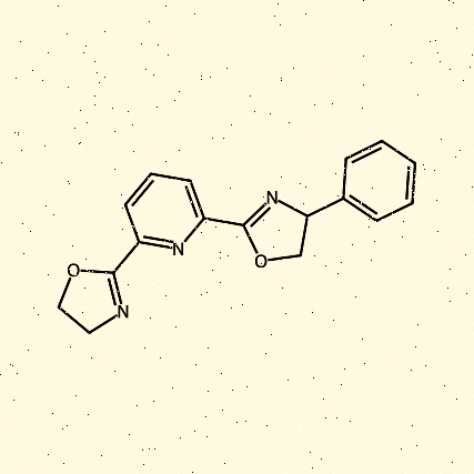 c1ccc(C2COC(c3cccc(C4=NCCO4)n3)=N2)cc1